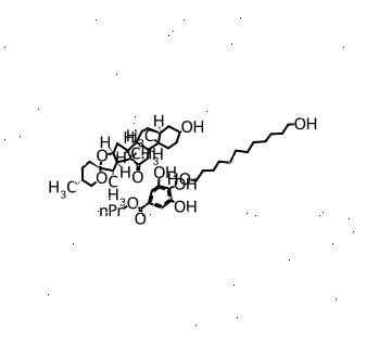 CCCOC(=O)c1cc(O)c(O)c(O)c1.C[C@@H]1CC[C@@]2(OC1)O[C@H]1C[C@H]3[C@@H]4CC[C@H]5C[C@@H](O)CC[C@]5(C)[C@H]4CC(=O)[C@]3(C)[C@H]1[C@@H]2C.OCCCCCCCCCCCCO